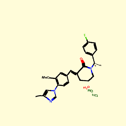 COc1cc(C=C2CCCN([C@@H](C)c3ccc(F)cc3)C2=O)ccc1-n1cnc(C)c1.Cl.Cl.O